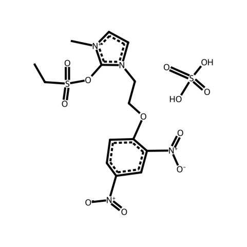 CCS(=O)(=O)Oc1n(CCOc2ccc([N+](=O)[O-])cc2[N+](=O)[O-])cc[n+]1C.O=S(=O)(O)O